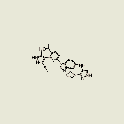 Cc1[nH]nc(C#N)c1-c1nc(-n2cnc3cc(Nc4c[nH]nc4C4COC4)ccc32)ccc1[C@H](C)O